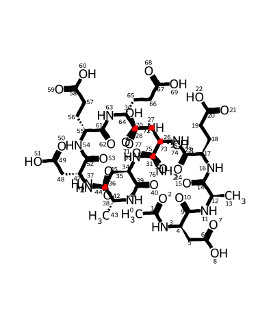 CC(=O)N[C@H](CC(=O)O)C(=O)N[C@H](C)C(=O)N[C@H](CCC(=O)O)C(=O)N[C@H](CC(=O)O)C(=O)N[C@H](CC(N)=O)C(=O)N[C@H](C)C(=O)N[C@H](CC(=O)O)C(=O)N[C@H](CCC(=O)O)C(=O)N[C@H](CCC(=O)O)C(=O)N[C@H](C)C(N)=O